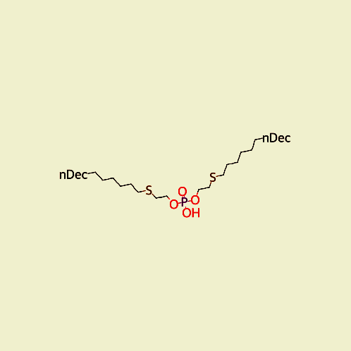 CCCCCCCCCCCCCCCCSCCOP(=O)(O)OCCSCCCCCCCCCCCCCCCC